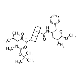 COC(=O)[C@@H](C)C[C@H](Cc1ccccc1)NC(=O)C12C3C4C1C1C2C3C41NC(=O)[C@H](C(C)C)N(C)C(=O)OC(C)(C)C